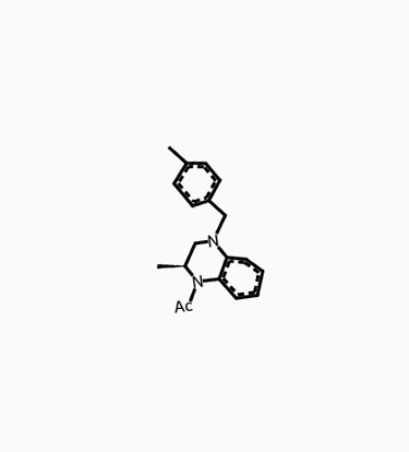 CC(=O)N1c2ccccc2N(Cc2ccc(C)cc2)C[C@@H]1C